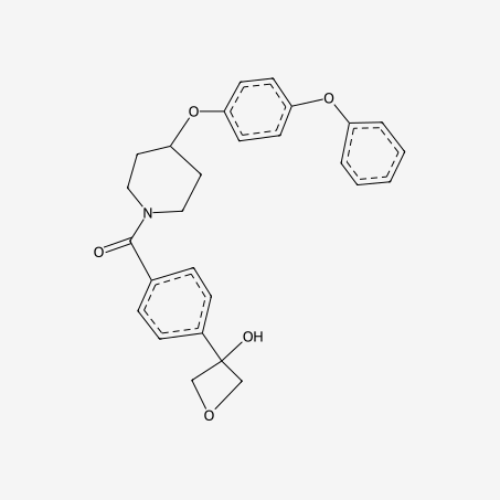 O=C(c1ccc(C2(O)COC2)cc1)N1CCC(Oc2ccc(Oc3ccccc3)cc2)CC1